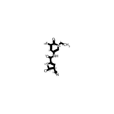 CCn1cc(NC(=O)c2cc(C#N)c(Cl)s2)cc(F)c1=O